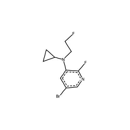 FCCN(c1cc(Br)cnc1F)C1CC1